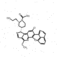 CSc1nc2c(F)c(-c3cccc4cccc(Cl)c34)c(Cl)cc2c2c1cnn2[C@H]1CCN(C(=O)O)[C@H](CCO)C1